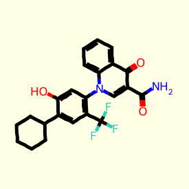 NC(=O)c1cn(-c2cc(O)c(C3CCCCC3)cc2C(F)(F)F)c2ccccc2c1=O